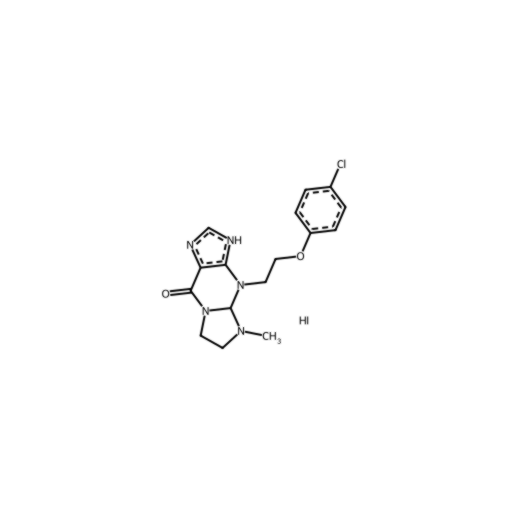 CN1CCN2C(=O)c3nc[nH]c3N(CCOc3ccc(Cl)cc3)C12.I